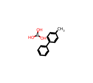 Cc1ccc(-c2ccccc2)cc1.OB(O)O